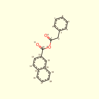 O=C(Cc1ccccc1)OC(=O)c1ccc2ccccc2c1